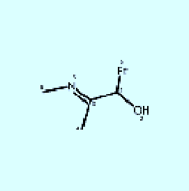 CCC(O)C(C)=NC